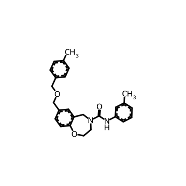 Cc1ccc(COCc2ccc3c(c2)CN(C(=O)Nc2cccc(C)c2)CCO3)cc1